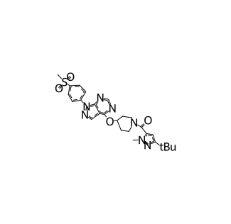 Cn1nc(C(C)(C)C)cc1C(=O)N1CCC(Oc2ncnc3c2cnn3-c2ccc(S(C)(=O)=O)cc2)CC1